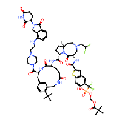 CC(C)(C)C(=O)OCOP(=O)(O)C(F)(F)c1ccc2sc(C(=O)N[C@H]3CN(CC(F)F)CC[C@H]4CC[C@@H](C(=O)N[C@H]5CCC(=O)NCc6cc(ccc6C(C)(C)C)C[C@@H](C(=O)N6CCN(CCNc7cccc8c7CN(C7CCC(=O)NC7=O)C8=O)CC6)NC5=O)N4C3=O)cc2c1